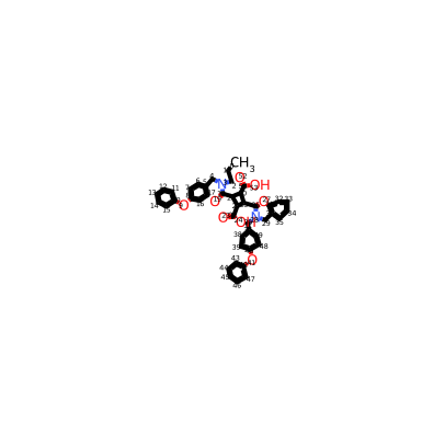 CCCN(Cc1ccc(Oc2ccccc2)cc1)C(=O)C1C(C(=O)O)C(C(=O)N(Cc2ccccc2)Cc2ccc(Oc3ccccc3)cc2)C1C(=O)O